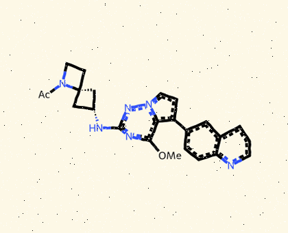 COc1nc(N[C@H]2C[C@]3(CCN3C(C)=O)C2)nn2ccc(-c3ccc4ncccc4c3)c12